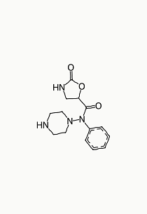 O=C1NCC(C(=O)N(c2ccccc2)N2CCNCC2)O1